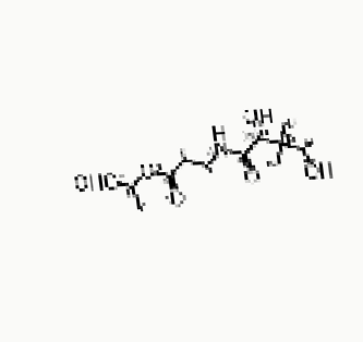 CC(C=O)OC(=O)CCNC(=O)[C@H](O)C(C)(C)CO